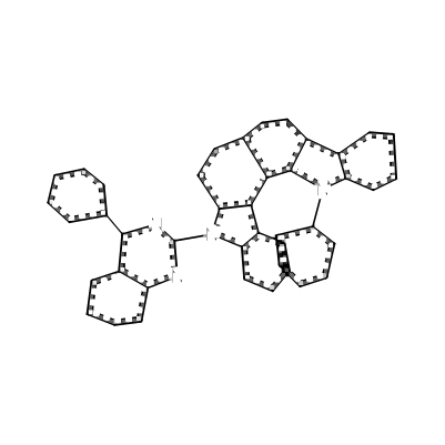 c1ccc(-c2nc(-n3c4ccccc4c4c5c(ccc6c7ccccc7n(-c7ccccc7)c65)ccc43)nc3ccccc23)cc1